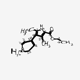 CCOC(=O)c1[nH]c(C)c(C2CCN(C)CC2)c1C